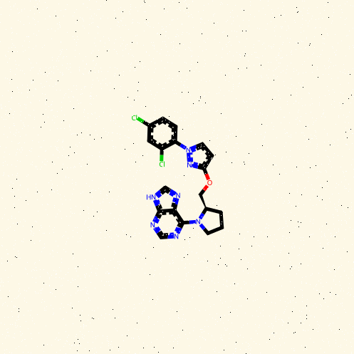 Clc1ccc(-n2ccc(OC[C@H]3CCCN3c3ncnc4[nH]cnc34)n2)c(Cl)c1